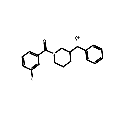 O=C(c1cccc(Cl)c1)N1CCCC([C@H](O)c2ccccc2)C1